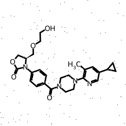 Cc1cc(C2CC2)cnc1N1CCN(C(=O)c2ccc(N3C(=O)OC[C@H]3COCCO)cc2)CC1